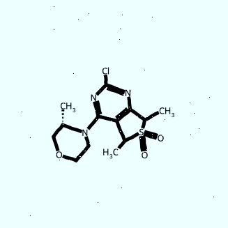 CC1c2nc(Cl)nc(N3CCOC[C@@H]3C)c2C(C)S1(=O)=O